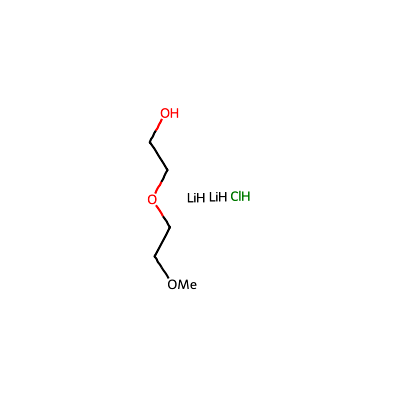 COCCOCCO.Cl.[LiH].[LiH]